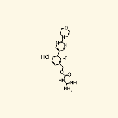 Cl.N=C(N)NC(=O)OCc1cccc(-c2cnc(N3CCOCC3)nc2)c1F